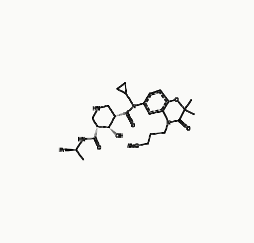 COCCCN1C(=O)C(C)(C)Oc2ccc(N(C(=O)[C@H]3CNC[C@@H](C(=O)N[C@@H](C)C(C)C)[C@H]3O)C3CC3)cc21